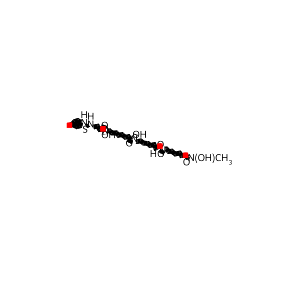 Cc1ccc(NC(=S)NCCCC(=O)N(O)CCCCCCCC(=O)N(O)CCCCCCCC(=O)N(O)CCCCCCCC(=O)N(C)O)cc1